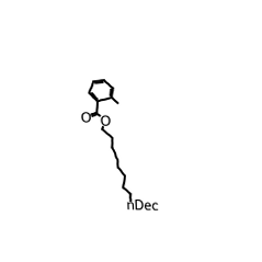 CCCCCCCCCCCCCCCCCCOC(=O)c1ccccc1C